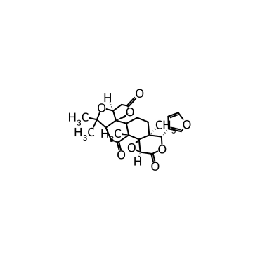 CC1(C)O[C@H]2CC(=O)OC[C@@]23C1CC(=O)[C@]1(C)C3CC[C@@]2(C)[C@H](c3ccoc3)OC(=O)[C@H]3O[C@]321